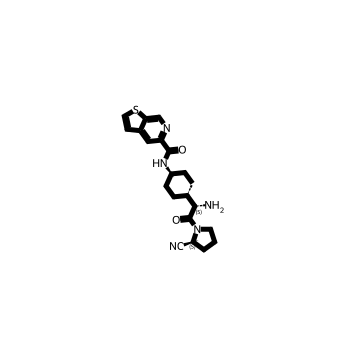 N#C[C@@H]1CCCN1C(=O)[C@@H](N)[C@H]1CC[C@H](NC(=O)c2cc3ccsc3cn2)CC1